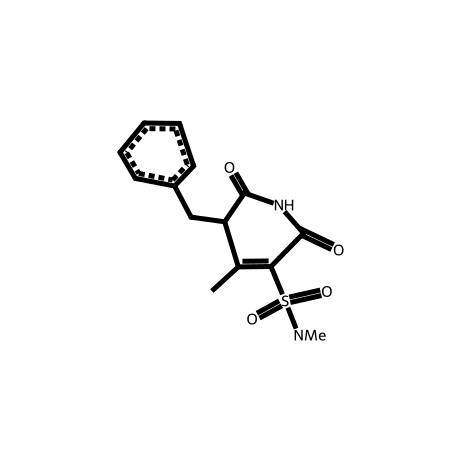 CNS(=O)(=O)C1=C(C)C(Cc2ccccc2)C(=O)NC1=O